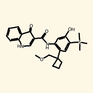 COCC1(c2cc(S(C)(C)C)c(O)cc2NC(=O)c2c[nH]c3ccccc3c2=O)CCC1